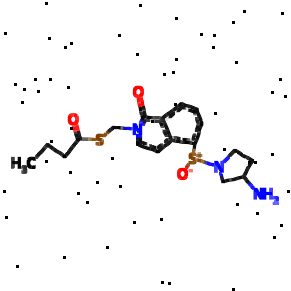 CCCC(=O)SCn1ccc2c([S+]([O-])N3CCC(N)C3)cccc2c1=O